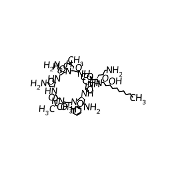 CCCCCCC[C@@H](O)CC(=O)N[C@H](CCCN)C(=O)N[C@H]1CCNC(=O)[C@H](CC(C)C)NC(=O)[C@H](CCN)NC(=O)[C@H](CCN)NC(=O)[C@H](CC(C)C)NC(=O)[C@@H](Cc2ccccc2)NC(=O)[C@H](CCN)NC1=O